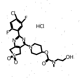 CN(CCO)C(=O)OC1CCN(c2nc(-c3cc(F)c(Cl)cc3F)nc3c2CS(=O)(=O)C3)CC1.Cl